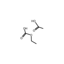 CC(=O)O.CCOC(=O)O